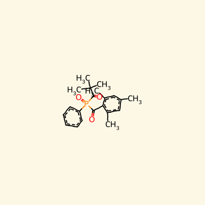 Cc1cc(C)c(C(=O)P(=O)(C(=O)C(C)(C)C)c2ccccc2)c(C)c1